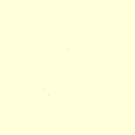 C[C@@H](Nc1cnc2cc(-c3cnn(C(=O)OC(C)(C)C)c3)ccc2n1)c1cccc(Cl)c1